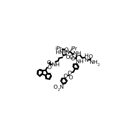 CC(C)C(=O)N[C@@H](CCCCNC(=O)OCC1c2ccccc2-c2ccccc21)C(=O)N[C@H](C(=O)N[C@@H](CCCNC(N)=O)C(=O)Nc1ccc(COC(=O)Oc2ccc([N+](=O)[O-])cc2)cc1)C(C)C